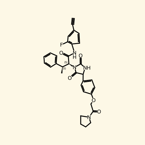 C#Cc1ccc(NC(=O)[C@H]([C@@H](C)c2ccccc2)N2C(=O)NC(c3ccc(OCC(=O)N4CCCC4)cc3)C2=O)c(F)c1